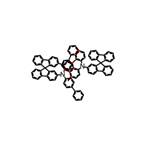 Cc1ccc(N(c2ccc3c(c2)C2(c4ccccc4-c4ccccc42)c2ccccc2-3)c2ccccc2-c2cccc(-c3ccc4c(c3)C3(c5ccccc5-4)c4ccccc4-c4ccc(N(c5ccc(-c6ccccc6)cc5)c5ccc(-c6ccccc6)cc5)cc43)c2)cc1